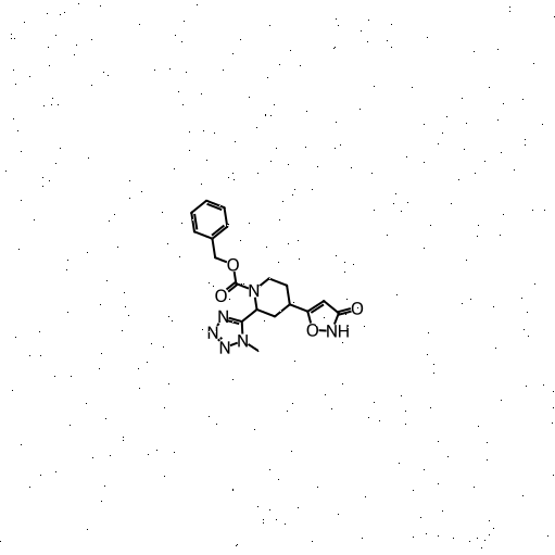 Cn1nnnc1C1CC(c2cc(=O)[nH]o2)CCN1C(=O)OCc1ccccc1